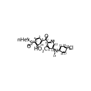 CCCCCC[S+]([O-])c1ccc(C(=O)c2ccc(N(C)c3ccc(Cl)cc3)cn2)cc1C(=O)O